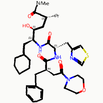 CNC(=O)[C@@H](C[C@H](O)[C@H](CC1CCCCC1)NC(=O)[C@H](Cc1cscn1)NC(=O)[C@@H](CC(=O)N1CCOCC1)Cc1ccccc1)C(C)C